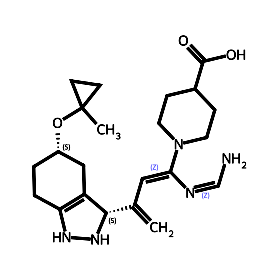 C=C(/C=C(\N=C/N)N1CCC(C(=O)O)CC1)[C@@H]1NNC2=C1C[C@@H](OC1(C)CC1)CC2